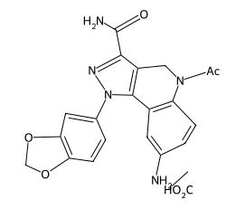 CC(=O)N1Cc2c(C(N)=O)nn(-c3ccc4c(c3)OCO4)c2-c2cc(N)ccc21.CC(=O)O